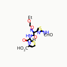 CCOCCON=C(C(=O)NC1C(=O)N2C(C(=O)O)=CCS[C@@H]12)c1csc(NC=O)n1